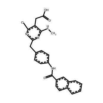 CPc1nc(Cc2ccc(NC(=O)c3ccc4ccccc4c3)cc2)nc(Cl)c1CC(=O)O